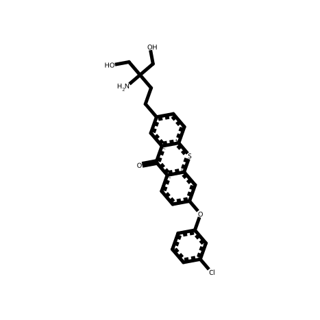 NC(CO)(CO)CCc1ccc2sc3cc(Oc4cccc(Cl)c4)ccc3c(=O)c2c1